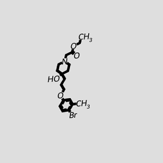 CCOC(=O)CN1CCC(O)(CCCOc2ccc(Br)c(C)c2)CC1